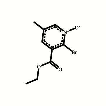 CCOC(=O)c1cc(C)c[n+]([O-])c1Br